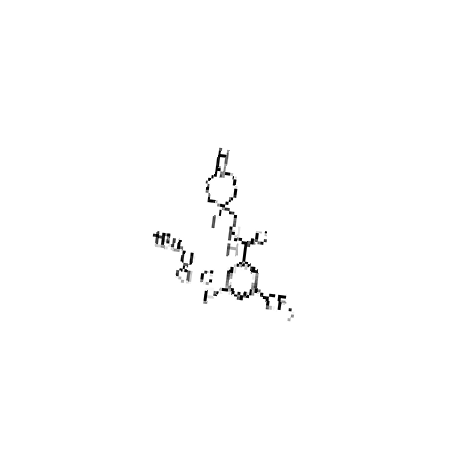 CC(C)(C)OC=O.O=C(NCC1(F)CCNCC1)c1cc(F)cc(C(F)(F)F)c1